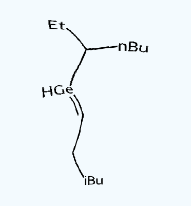 [CH2]CC(C)C[CH]=[GeH][CH](CC)CCCC